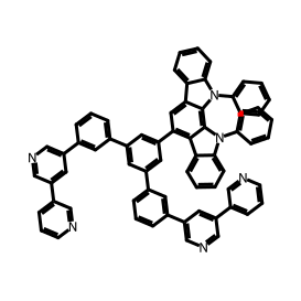 c1ccc(-n2c3ccccc3c3cc(-c4cc(-c5cccc(-c6cncc(-c7cccnc7)c6)c5)cc(-c5cccc(-c6cncc(-c7cccnc7)c6)c5)c4)c4c5ccccc5n(-c5ccccc5)c4c32)cc1